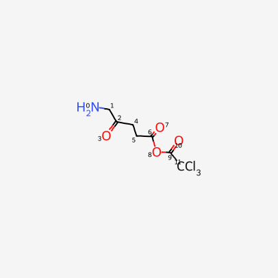 NCC(=O)CCC(=O)OC(=O)C(Cl)(Cl)Cl